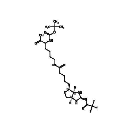 CC(C)(C)OC(=O)NC(CCCCNC(=O)CCCC[C@@H]1SC[C@@H]2NC(=NC(=O)C(F)(F)F)N[C@@H]21)C(=O)O